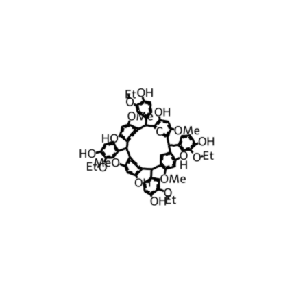 CCOc1cc(C2c3cc(c(OC)cc3O)C(c3ccc(O)c(OCC)c3)c3cc(c(OC)cc3O)C(c3ccc(O)c(OCC)c3)c3cc(c(OC)cc3O)C(c3ccc(O)c(OCC)c3)c3cc2c(OC)cc3O)ccc1O